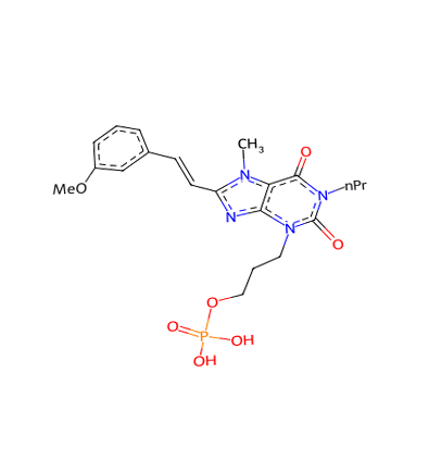 CCCn1c(=O)c2c(nc(C=Cc3cccc(OC)c3)n2C)n(CCCOP(=O)(O)O)c1=O